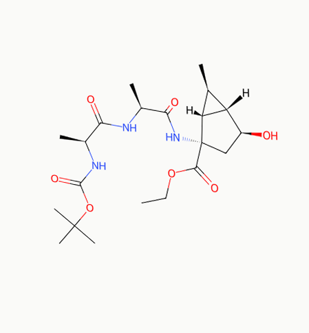 CCOC(=O)[C@]1(NC(=O)[C@H](C)NC(=O)[C@H](C)NC(=O)OC(C)(C)C)C[C@H](O)[C@H]2[C@H](C)[C@H]21